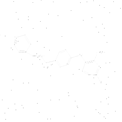 COc1nc(C(C)C)ccc1Nc1ccc(CNCc2ccncc2)cc1